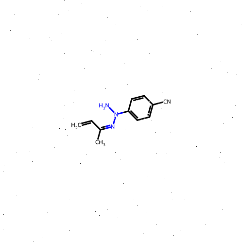 C=C/C(C)=N\N(N)c1ccc(C#N)cc1